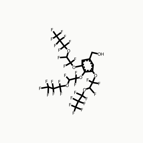 OCc1cc(OC(F)(F)C(F)OC(F)(F)C(F)(F)C(F)(F)F)c(OC(F)(F)C(F)OC(F)(F)C(F)(F)C(F)(F)F)c(OC(F)(F)C(F)OC(F)(F)C(F)(F)C(F)(F)F)c1